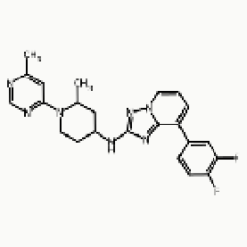 Cc1cc(N2CCC(Nc3nc4c(-c5ccc(F)c(F)c5)cccn4n3)CC2C)ncn1